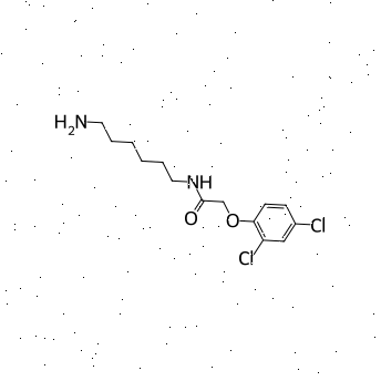 NCCCCCCNC(=O)COc1ccc(Cl)cc1Cl